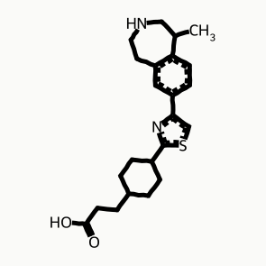 CC1CNCCc2cc(-c3csc(C4CCC(CCC(=O)O)CC4)n3)ccc21